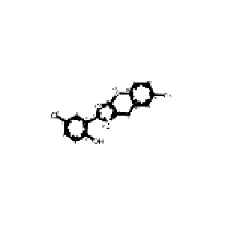 Oc1ccc(Cl)cc1-c1nc2c([nH]1)Cc1cc(Cl)ccc1O2